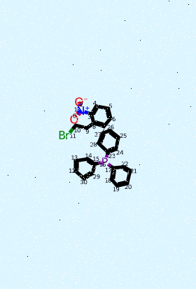 O=[N+]([O-])c1ccccc1CCBr.c1ccc(P(c2ccccc2)c2ccccc2)cc1